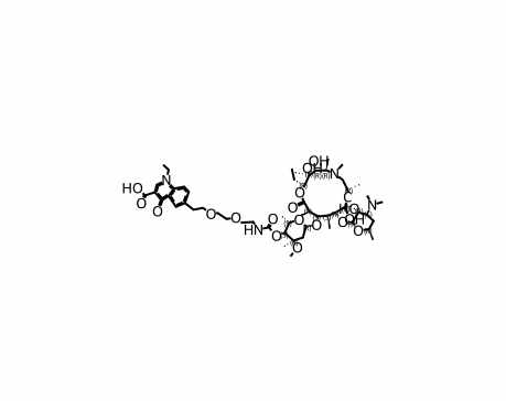 CC[C@H]1OC(=O)[C@H](C)[C@@H](O[C@H]2C[C@@](C)(OC)[C@@H](OC(=O)NCCOCCOCCc3ccc4c(c3)c(=O)c(C(=O)O)cn4CC)[C@H](C)O2)[C@H](C)[C@@H](O[C@@H]2O[C@H](C)C[C@H](N(C)C)[C@H]2O)[C@](C)(O)C[C@@H](C)CN(C)[C@H](C)[C@@H](O)[C@]1(C)O